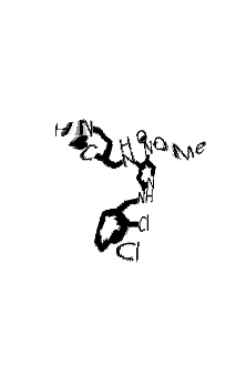 CO[N+](=O)c1cnc(NCc2cccc(Cl)c2Cl)cc1NCC1CCNCC1